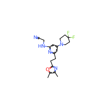 Cc1nc(CCc2cc(N3CCC(F)(F)CC3)cc(NCC#N)n2)oc1C